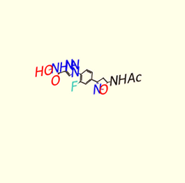 CC(=O)NC1CC(c2ccc(-n3cc(C(=O)NO)nn3)c(F)c2)=NO1